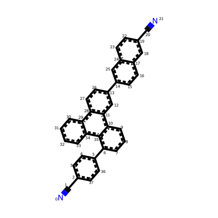 N#Cc1ccc(-c2cccc3c4cc(-c5ccc6cc(C#N)ccc6c5)ccc4c4ccccc4c23)cc1